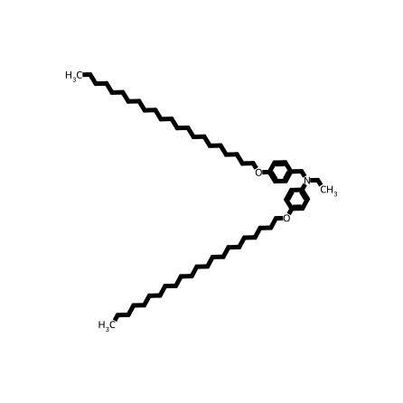 CCCCCCCCCCCCCCCCCCCCCCOc1ccc(CN(CC)c2ccc(OCCCCCCCCCCCCCCCCCCCCCC)cc2)cc1